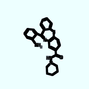 Nc1ccccc1C1=Nc2cc(C(=O)NN3CCCCC3)ccc2Sc2ccccc21